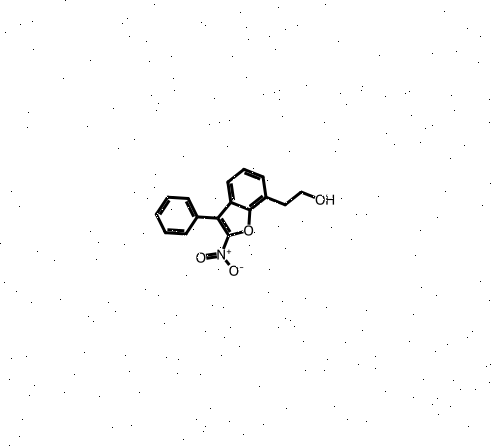 O=[N+]([O-])c1oc2c(CCO)cccc2c1-c1ccccc1